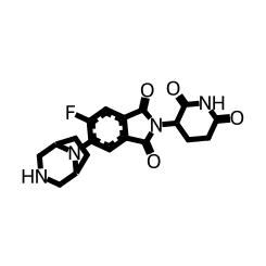 O=C1CCC(N2C(=O)c3cc(F)c(N4C5CCC4CNC5)cc3C2=O)C(=O)N1